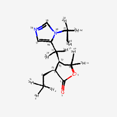 [2H]C([2H])([2H])C[C@@H]1C(=O)OC([2H])([2H])[C@@H]1C([2H])([2H])c1cncn1C([2H])([2H])[2H]